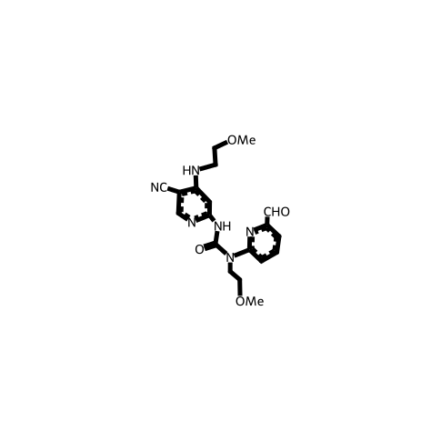 COCCNc1cc(NC(=O)N(CCOC)c2cccc(C=O)n2)ncc1C#N